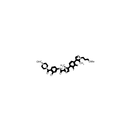 COCCCn1ncc(-c2ccc(-c3cnc(C(=O)Nc4ccc(C(=O)N5CCN(C=O)CC5)c(Cl)c4)n3C)c(F)c2F)c1C